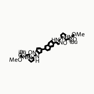 CC[C@@H](C)[C@H](NC(=O)OC)C(=O)N1CCC[C@H]1c1ncc(-c2ccc3cc(-c4ccc5nc([C@@H]6CCCN6C(=O)[C@@H](NC(=O)OC)[C@H](C)CC)[nH]c5c4)ccc3c2)[nH]1